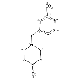 CCN1CCN(Cc2cccc(C(=O)O)c2)CC1